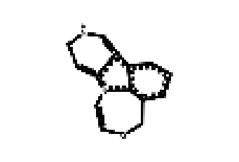 C1=Cn2c3c(c4cccc(c42)CS1)=CNCC=3